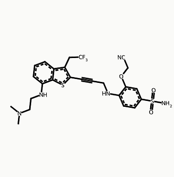 CN(C)CCNc1cccc2c(CC(F)(F)F)c(C#CCNc3ccc(S(N)(=O)=O)cc3OCC#N)sc12